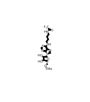 CSOC[C@H]1O[C@@H](n2cnc3c(NCCCCNC(=O)C(F)(F)F)ncnc32)C(O)C1O